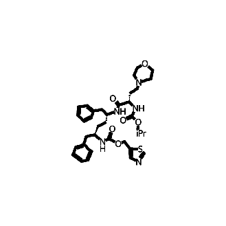 CC(C)OC(=O)N[C@@H](CCN1CCOCC1)C(=O)N[C@H](CC[C@H](Cc1ccccc1)NC(=O)OCc1cncs1)Cc1ccccc1